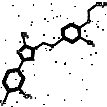 Cc1cc(SCc2sc(-c3ccc(C(F)(F)F)c(C(F)(F)F)c3)nc2C)ccc1OCC(=O)O